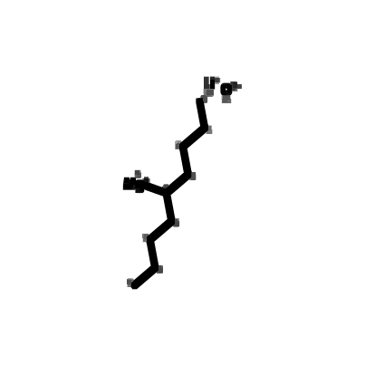 CCCC[CH]([Mg+])CCCC.[Li+].[O-2]